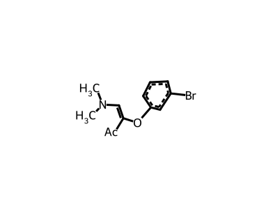 CC(=O)C(=CN(C)C)Oc1cccc(Br)c1